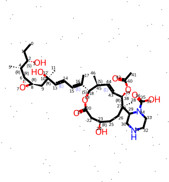 CC[C@H](O)[C@@H](C)[C@H]1O[C@@H]1C[C@@](C)(O)/C=C/C=C(\C)[C@H]1OC(=O)C[C@H](O)CC[C@](C)(C2CNCCN2C(=O)O)[C@H](OC(C)=O)/C=C/[C@@H]1C